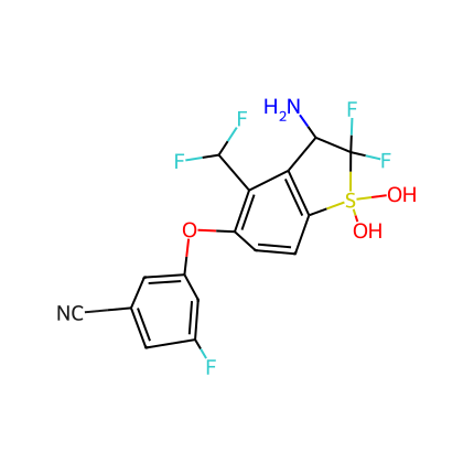 N#Cc1cc(F)cc(Oc2ccc3c(c2C(F)F)C(N)C(F)(F)S3(O)O)c1